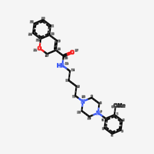 COc1ccccc1N1CCN(CCCCNC(=O)C2=Cc3ccccc3OC2)CC1